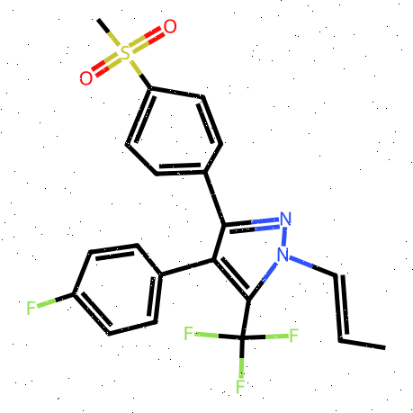 CC=Cn1nc(-c2ccc(S(C)(=O)=O)cc2)c(-c2ccc(F)cc2)c1C(F)(F)F